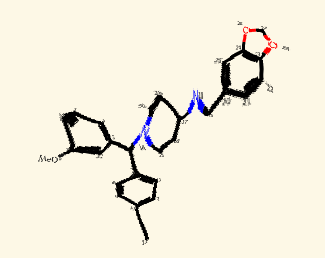 COc1cccc(C(c2ccc(C)cc2)N2CCC(N=Cc3ccc4c(c3)OCO4)CC2)c1